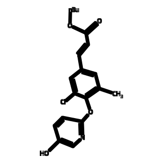 CCCCOC(=O)C=Cc1cc(C)c(Oc2ccc(O)cn2)c(Cl)c1